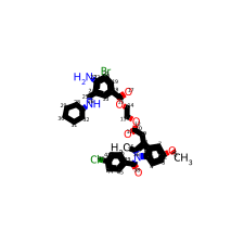 COc1ccc2c(c1)c(CC(=O)OCCOC(=O)c1cc(Br)c(N)c(CNC3CCCCC3)c1)c(C)n2C(=O)c1ccc(Cl)cc1